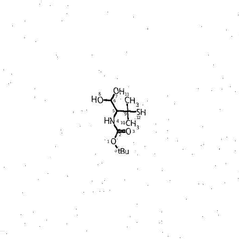 CC(C)(C)OC(=O)NC(C(O)O)C(C)(C)S